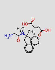 CN(C(=O)CN)C(C)(Cc1ccccc1)c1ccccc1.O=C(O)C=CC(=O)O